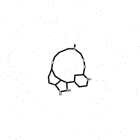 CN1CCCOC2CCC3NNC(C4CCNC(C4)OCC1)C3C2